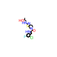 CC(O)CNc1nc2c(s1)CN(C(=O)c1cc3c(Cl)cc(F)cc3[nH]1)CC2